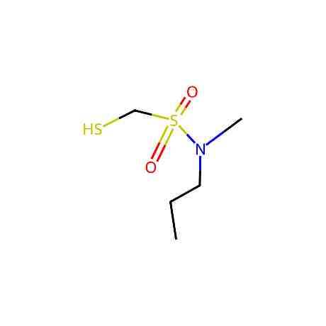 CCCN(C)S(=O)(=O)CS